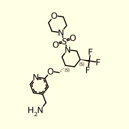 NCc1ccnc(OC[C@H]2C[C@H](C(F)(F)F)CN(S(=O)(=O)N3CCOCC3)C2)c1